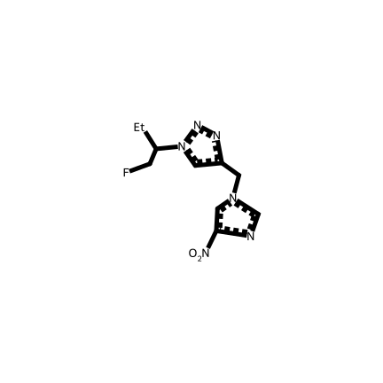 CCC(CF)n1cc(Cn2cnc([N+](=O)[O-])c2)nn1